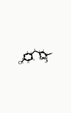 Cc1cc(Cc2ccc(Cl)cc2)nn1C